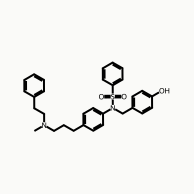 CN(CCCc1ccc(N(Cc2ccc(O)cc2)S(=O)(=O)c2ccccc2)cc1)CCc1ccccc1